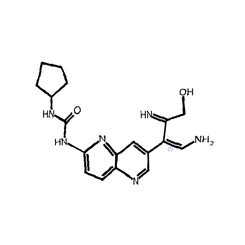 N=C(CO)/C(=C\N)c1cnc2ccc(NC(=O)NC3CCCC3)nc2c1